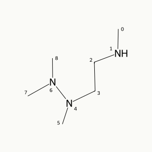 CNCCN(C)N(C)C